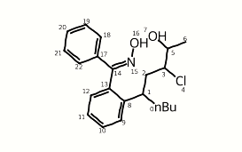 CCCCC(CC(Cl)C(C)O)c1ccccc1C(=NO)c1ccccc1